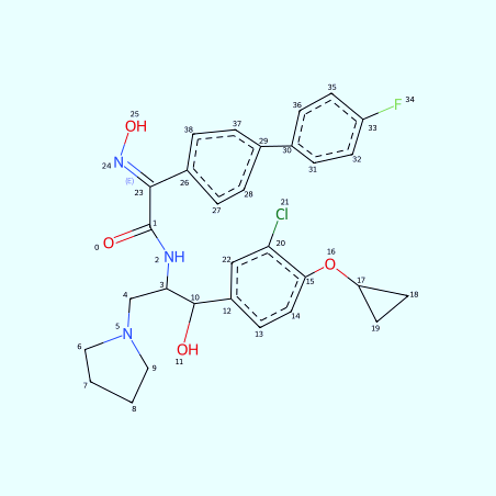 O=C(NC(CN1CCCC1)C(O)c1ccc(OC2CC2)c(Cl)c1)/C(=N/O)c1ccc(-c2ccc(F)cc2)cc1